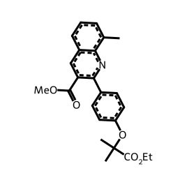 CCOC(=O)C(C)(C)Oc1ccc(-c2nc3c(C)cccc3cc2C(=O)OC)cc1